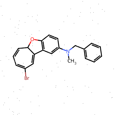 CN(Cc1ccccc1)c1ccc2c(c1)C1=CC(Br)=CC=CC1O2